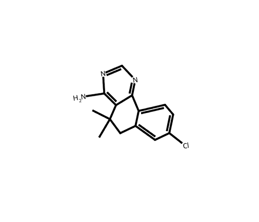 CC1(C)Cc2cc(Cl)ccc2-c2ncnc(N)c21